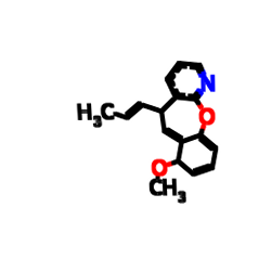 CC=CC1C=C2C(=CC=CC2OC)Oc2ncccc21